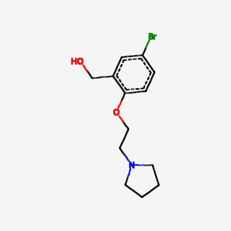 OCc1cc(Br)ccc1OCCN1CCCC1